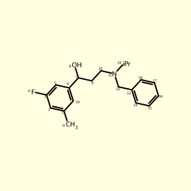 Cc1cc(F)cc(C(O)CCN(Cc2ccccc2)C(C)C)c1